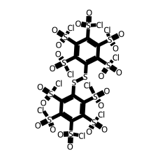 O=S(=O)(Cl)c1c(SSc2c(S(=O)(=O)Cl)c(S(=O)(=O)Cl)c(S(=O)(=O)Cl)c(S(=O)(=O)Cl)c2S(=O)(=O)Cl)c(S(=O)(=O)Cl)c(S(=O)(=O)Cl)c(S(=O)(=O)Cl)c1S(=O)(=O)Cl